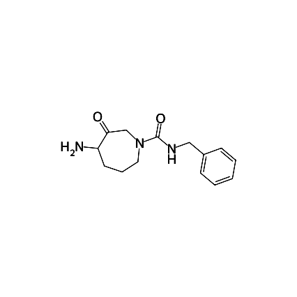 NC1CCCN(C(=O)NCc2ccccc2)CC1=O